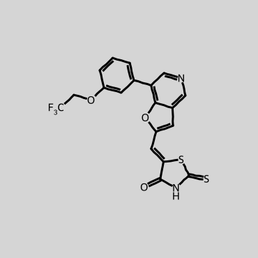 O=C1NC(=S)S/C1=C\c1cc2cncc(-c3cccc(OCC(F)(F)F)c3)c2o1